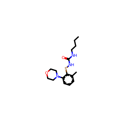 CCCCNC(=O)NSc1c(C)cccc1N1CCOCC1